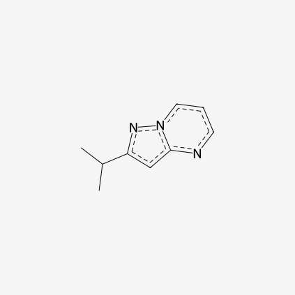 CC(C)c1cc2ncccn2n1